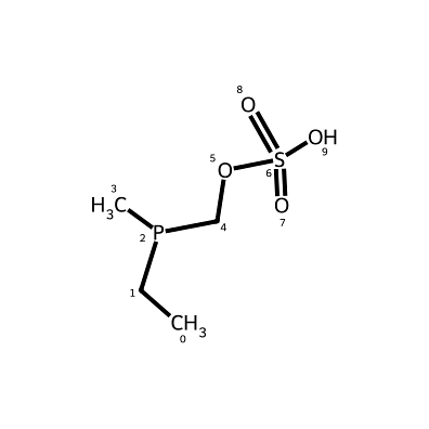 CCP(C)COS(=O)(=O)O